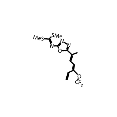 C=C/C(=C\C=C(/C)c1nnc(N=C(SC)SC)o1)OC(F)(F)F